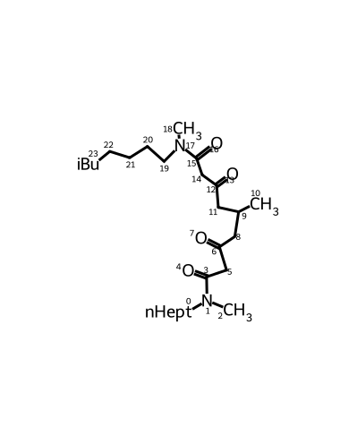 CCCCCCCN(C)C(=O)CC(=O)CC(C)CC(=O)CC(=O)N(C)CCCCC(C)CC